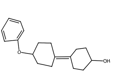 OC1CCC(=C2CCC(Oc3ccccc3)CC2)CC1